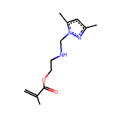 C=C(C)C(=O)OCCNCn1nc(C)cc1C